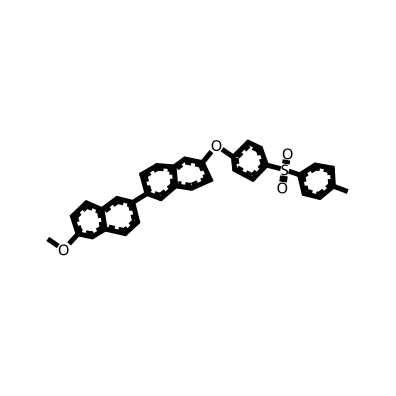 COc1ccc2cc(-c3ccc4cc(Oc5ccc(S(=O)(=O)c6ccc(C)cc6)cc5)ccc4c3)ccc2c1